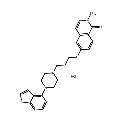 Cl.Cn1ccc2cc(OCCCN3CCN(c4cccc5sccc45)CC3)ccc2c1=O